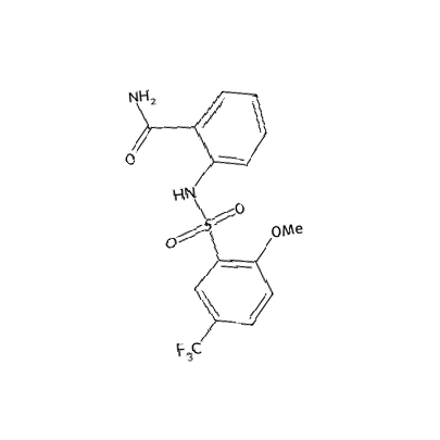 COc1ccc(C(F)(F)F)cc1S(=O)(=O)Nc1ccccc1C(N)=O